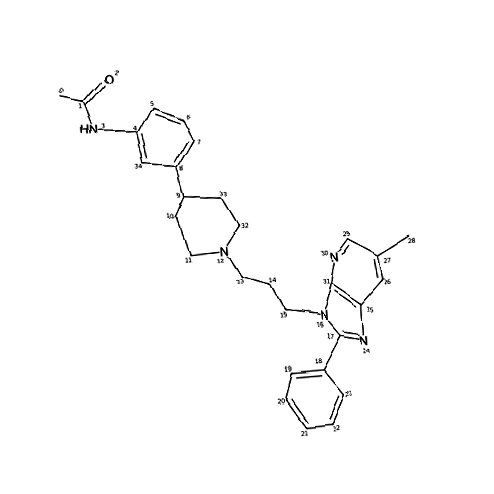 CC(=O)Nc1cccc(C2CCN(CCCn3c(-c4ccccc4)nc4cc(C)cnc43)CC2)c1